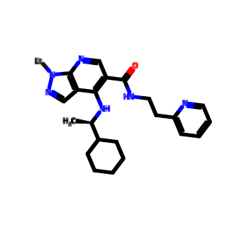 CCn1ncc2c(N[C@H](C)C3CCCCC3)c(C(=O)NCCc3ccccn3)cnc21